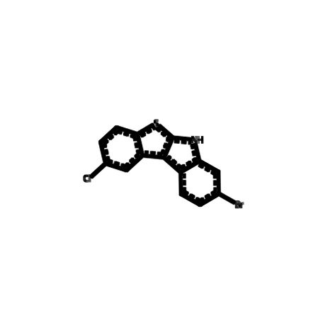 Clc1ccc2sc3[nH]c4cc(Br)ccc4c3c2c1